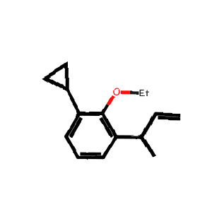 C=C[C](C)c1cccc(C2CC2)c1OCC